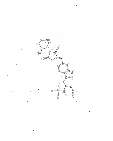 O=C1S/C(=C\c2ccc3c(cnn3Cc3ccc(F)cc3C(F)(F)F)c2)C(=O)N1[C@H]1CNCC[C@@H]1O